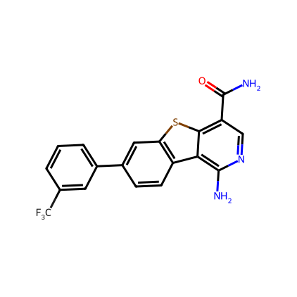 NC(=O)c1cnc(N)c2c1sc1cc(-c3cccc(C(F)(F)F)c3)ccc12